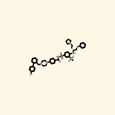 CS(=O)(=O)c1cc(S(=O)(=O)NC(=O)c2ccc(N3CCN(Cc4ccccc4-c4ccc(Cl)cc4)CC3)cc2)ccc1N[C@H](CCN1CCCC1)CSc1ccccc1